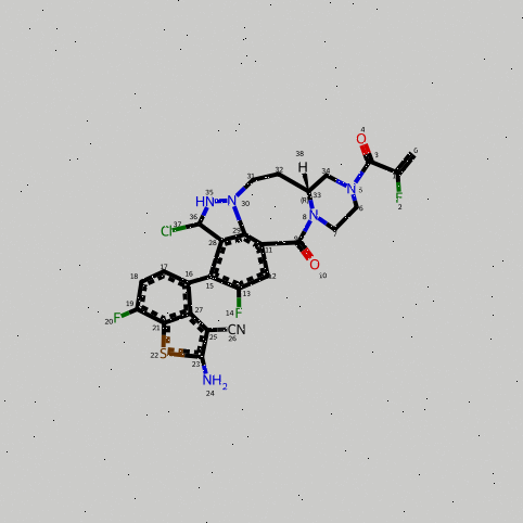 C=C(F)C(=O)N1CCN2C(=O)c3cc(F)c(-c4ccc(F)c5sc(N)c(C#N)c45)c4c3N(CC[C@@H]2C1)NC4Cl